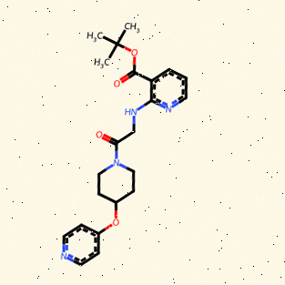 CC(C)(C)OC(=O)c1cccnc1NCC(=O)N1CCC(Oc2ccncc2)CC1